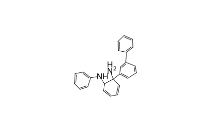 NC1(c2cccc(-c3ccccc3)c2)C=CC=CC1Nc1ccccc1